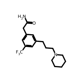 NC(=O)Cc1cc(CCCN2CCCCC2)cc(C(F)(F)F)c1